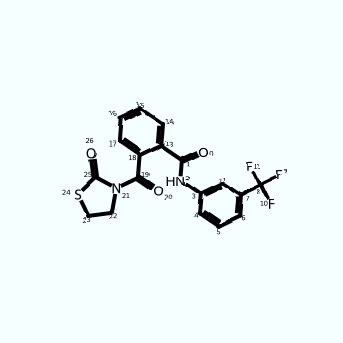 O=C(Nc1cccc(C(F)(F)F)c1)c1ccccc1C(=O)N1CCSC1=O